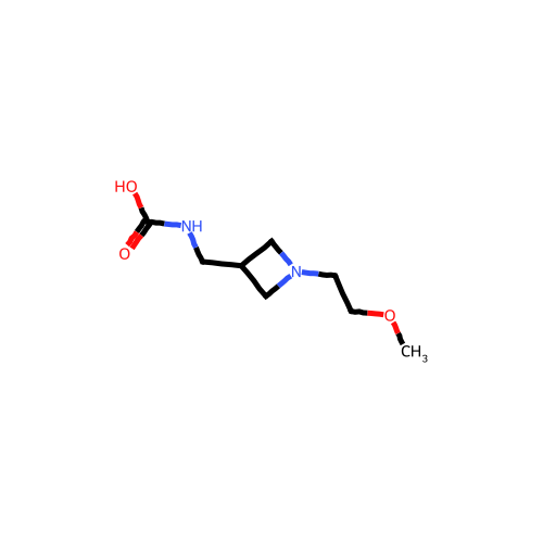 COCCN1CC(CNC(=O)O)C1